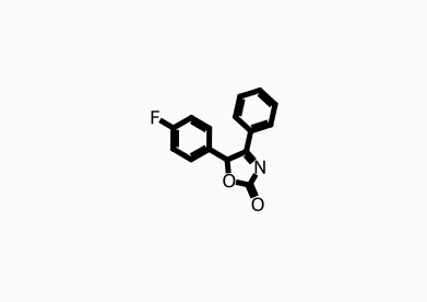 O=C1N=C(c2ccccc2)C(c2ccc(F)cc2)O1